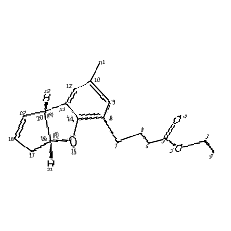 CCOC(=O)CCCc1cc(C)cc2c1O[C@@H]1CC=C[C@H]21